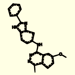 COc1ccc2c(C)nnc(Nc3ccc4[nH]c(-c5ccccc5)nc4c3)c2c1